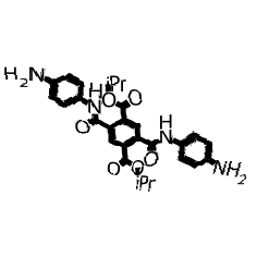 CC(C)OC(=O)c1cc(C(=O)Nc2ccc(N)cc2)c(C(=O)OC(C)C)cc1C(=O)Nc1ccc(N)cc1